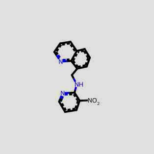 O=[N+]([O-])c1cccnc1NCc1cccc2cccnc12